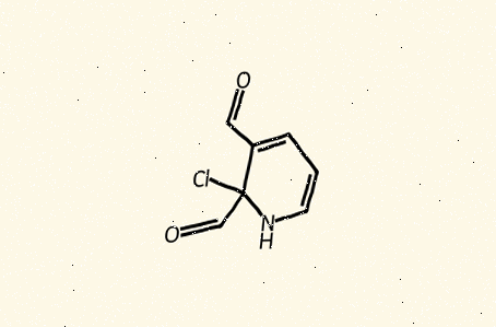 O=CC1=CC=CNC1(Cl)C=O